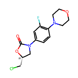 O=C1O[C@@H](CCl)CN1c1ccc(N2CCOCC2)c(F)c1